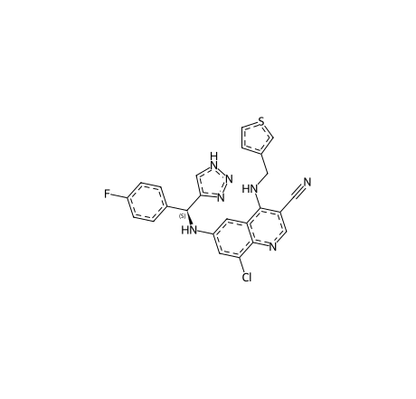 N#Cc1cnc2c(Cl)cc(N[C@@H](c3ccc(F)cc3)c3c[nH]nn3)cc2c1NCc1ccsc1